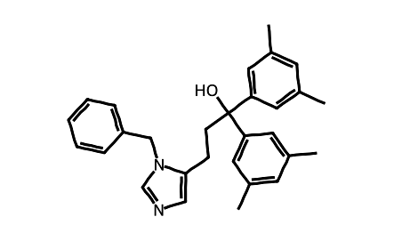 Cc1cc(C)cc(C(O)(CCc2cncn2Cc2ccccc2)c2cc(C)cc(C)c2)c1